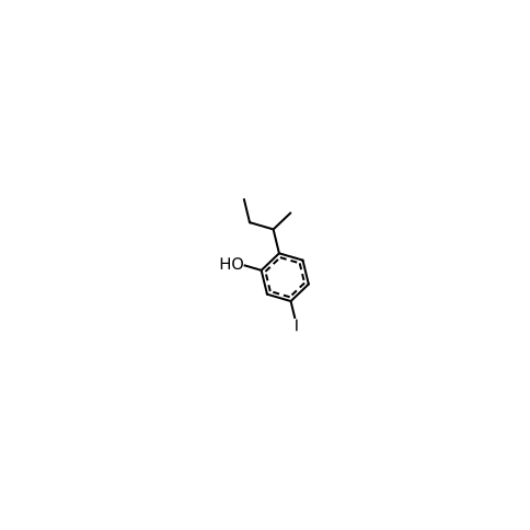 CCC(C)c1ccc(I)cc1O